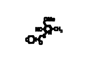 COCc1cc(C)nc(SCC(=O)N2CCOCC2)c1C#N